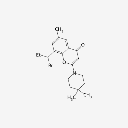 CCC(Br)c1cc(C)cc2c(=O)cc(N3CCC(C)(C)CC3)oc12